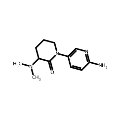 CN(C)C1CCCN(c2ccc(N)nc2)C1=O